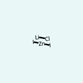 [I][Zn][I].[Li][Cl]